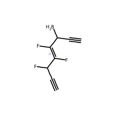 BC(C#C)/C(F)=C(\F)C(F)C#C